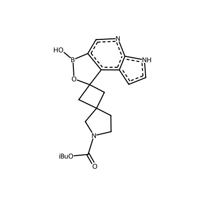 CC(C)COC(=O)N1CCC2(C1)CC1(C2)OB(O)c2cnc3[nH]ccc3c21